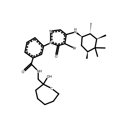 C[C@@H]1[C@@H](C)C(C)(C)[C@@H](C)C[C@H]1Nc1cnn(-c2cccc(C(=O)NCC3(O)CCCCCC3)c2)c(=O)c1Br